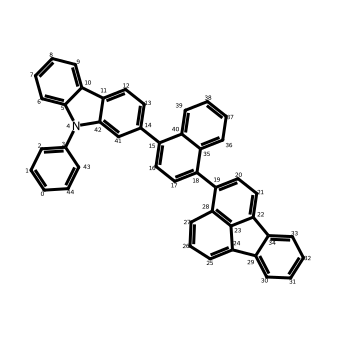 c1ccc(-n2c3ccccc3c3ccc(-c4ccc(-c5ccc6c7c(cccc57)-c5ccccc5-6)c5ccccc45)cc32)cc1